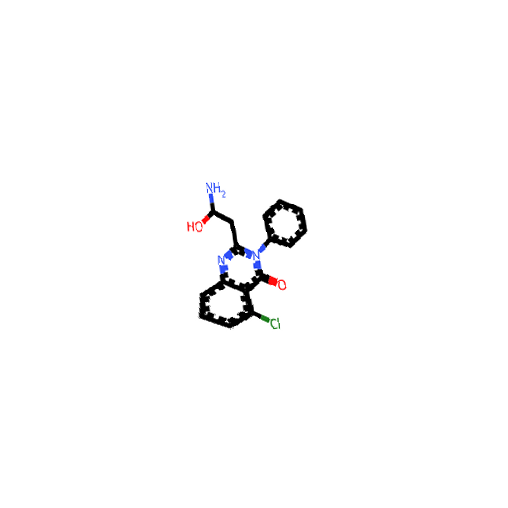 NC(O)Cc1nc2cccc(Cl)c2c(=O)n1-c1ccccc1